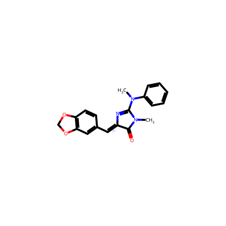 CN1C(=O)/C(=C/c2ccc3c(c2)OCO3)N=C1N(C)c1ccccc1